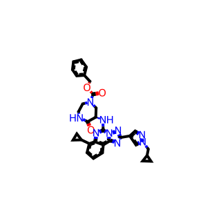 O=C1NCCN(C(=O)OCc2ccccc2)C[C@H]1Nc1nc2c(C3CC3)cccc2c2nc(-c3cnn(CC4CC4)c3)nn12